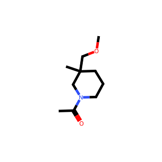 COCC1(C)CCCN(C(C)=O)C1